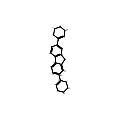 C1=C(c2ccc3c(c2)Cc2cc(C4=CCCCC4)ccc2-3)CCCC1